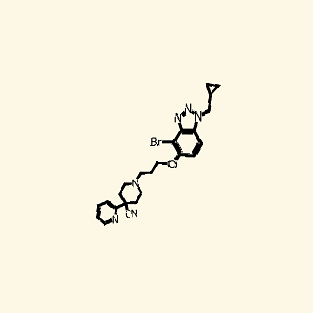 N#CC1(c2ccccn2)CCN(CCCOc2ccc3c(nnn3CC3CC3)c2Br)CC1